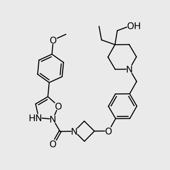 CCC1(CO)CCN(Cc2ccc(OC3CN(C(=O)N4NC=C(c5ccc(OC)cc5)O4)C3)cc2)CC1